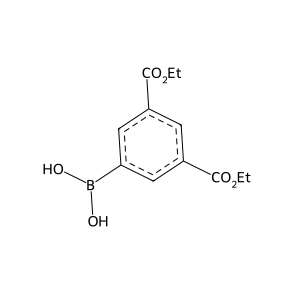 CCOC(=O)c1cc(B(O)O)cc(C(=O)OCC)c1